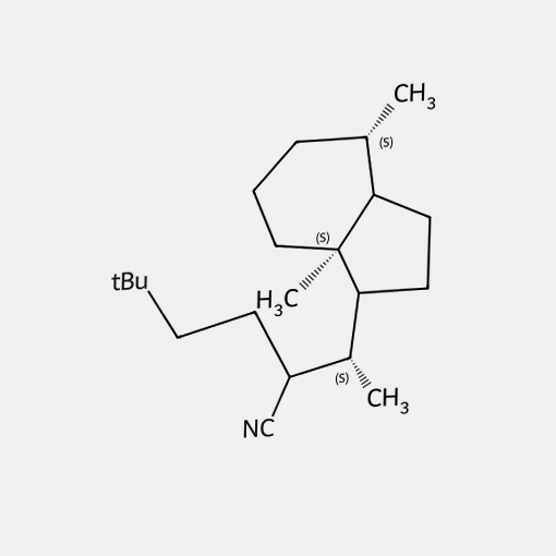 C[C@H](C(C#N)CCC(C)(C)C)C1CCC2[C@@H](C)CCC[C@]12C